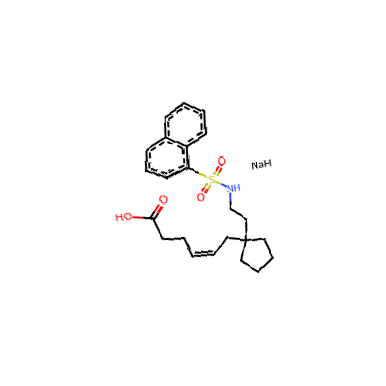 O=C(O)CC/C=C\CC1(CCNS(=O)(=O)c2cccc3ccccc23)CCCC1.[NaH]